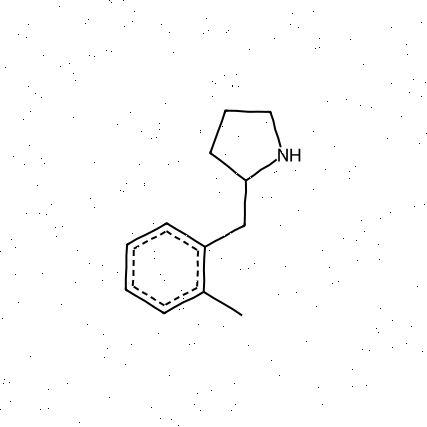 Cc1ccccc1CC1CCCN1